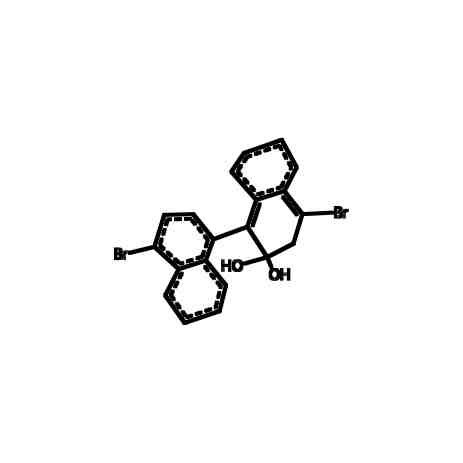 OC1(O)CC(Br)=c2ccccc2=C1c1ccc(Br)c2ccccc12